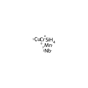 [Cr].[Cu].[Mn].[Nb].[SiH4]